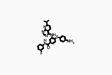 CC(C)c1ccc2c(Nc3cc(C(=O)Nc4cccc(F)c4)ccc3Sc3ccc(N)cc3)ncnc2n1